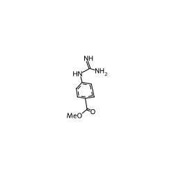 COC(=O)c1ccc(NC(=N)N)cc1